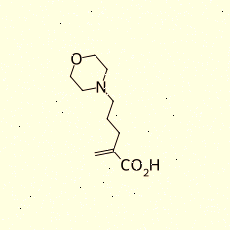 C=C(CCCN1CCOCC1)C(=O)O